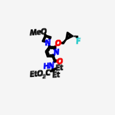 CCOC(=O)C(CC)(CC)NC(=O)c1ccc(N2CC(OC)C2)c(OC[C@H]2C[C@@H]2CF)n1